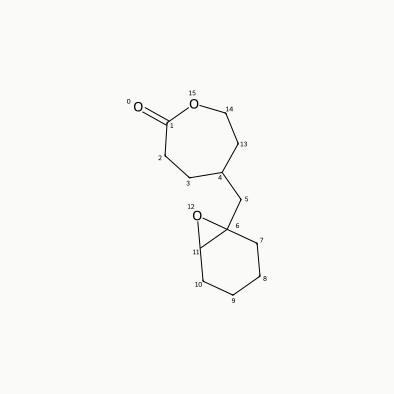 O=C1CCC(CC23CCCCC2O3)CCO1